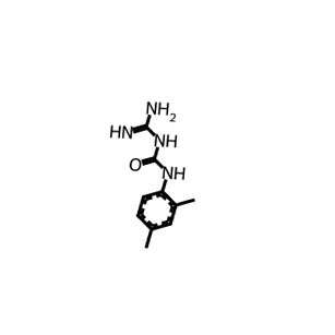 Cc1ccc(NC(=O)NC(=N)N)c(C)c1